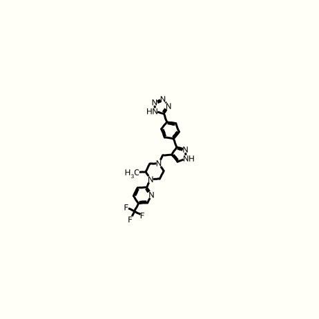 CC1CN(Cc2c[nH]nc2-c2ccc(-c3nnn[nH]3)cc2)CCN1c1ccc(C(F)(F)F)cn1